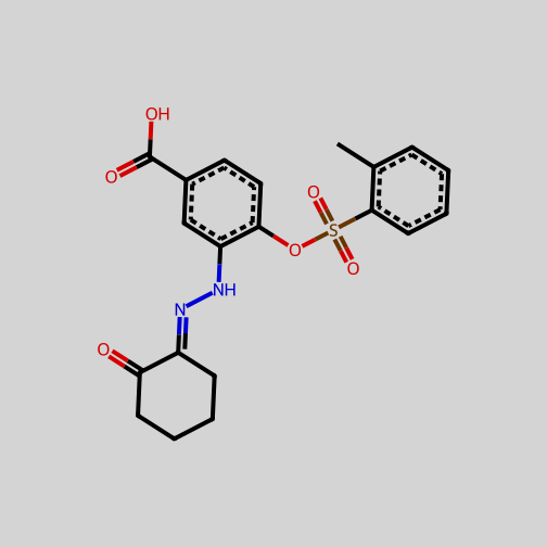 Cc1ccccc1S(=O)(=O)Oc1ccc(C(=O)O)cc1N/N=C1\CCCCC1=O